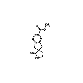 COC(=O)c1ccc2c(c1)CC1(CCNC1=S)C2